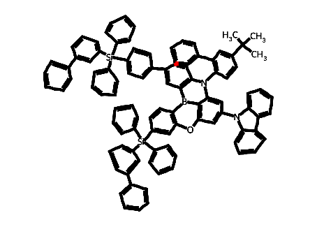 CC(C)(C)c1ccc(N2c3ccc(-c4ccc([Si](c5ccccc5)(c5ccccc5)c5cccc(-c6ccccc6)c5)cc4)cc3B3c4ccc([Si](c5ccccc5)(c5ccccc5)c5cccc(-c6ccccc6)c5)cc4Oc4cc(-n5c6ccccc6c6ccccc65)cc2c43)c(-c2ccccc2)c1